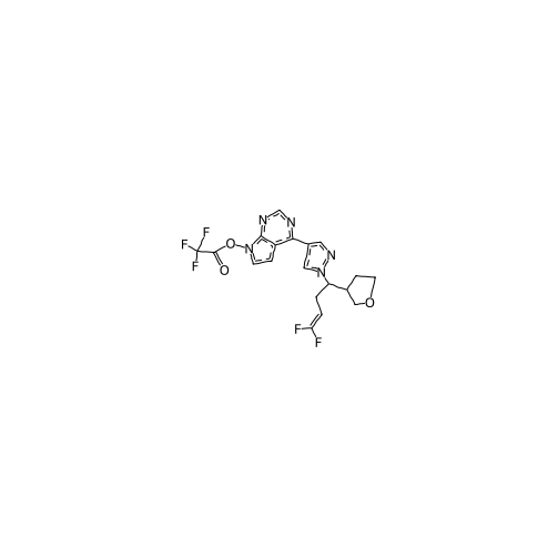 O=C(On1ccc2c(-c3cnn(C(CC=C(F)F)C4CCOC4)c3)ncnc21)C(F)(F)F